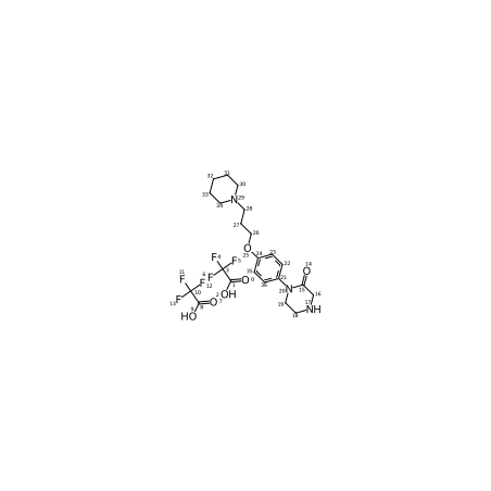 O=C(O)C(F)(F)F.O=C(O)C(F)(F)F.O=C1CNCCN1c1ccc(OCCCN2CCCCC2)cc1